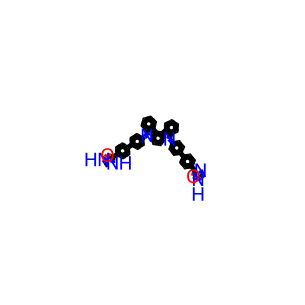 c1ccc2c(c1)c1c3c4ccccc4n(-c4ccc(-c5ccc(C6NCNO6)cc5)cc4)c3ccc1n2-c1ccc(-c2ccc(C3=NCNO3)cc2)cc1